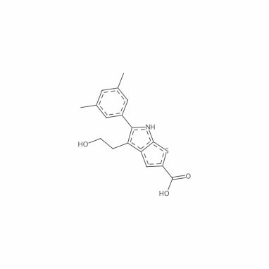 Cc1cc(C)cc(-c2[nH]c3sc(C(=O)O)cc3c2CCO)c1